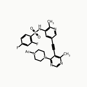 CC(=O)N1CCN(c2ncnc(C)c2C#Cc2cnc(C)c(NS(=O)(=O)c3ccc(F)cc3F)c2)CC1